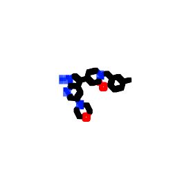 Cc1cccc(Cn2ccc(-c3c[nH]c4ncc(N5CCOCC5)cc34)cc2=O)c1